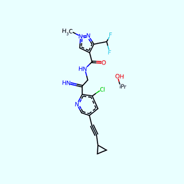 CC(C)O.Cn1cc(C(=O)NCC(=N)c2ncc(C#CC3CC3)cc2Cl)c(C(F)F)n1